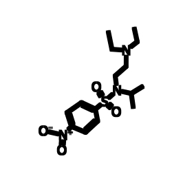 CCN(CC)CCN(C(C)C)S(=O)(=O)c1ccc([N+](=O)[O-])cc1